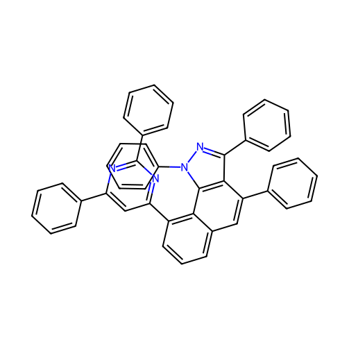 c1ccc(-c2cc(-c3cccc4cc(-c5ccccc5)c5c(-c6ccccc6)nn(-c6ccccc6)c5c34)nc(-c3ccccc3)n2)cc1